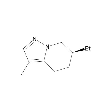 CC[C@H]1CCc2c(C)cnn2C1